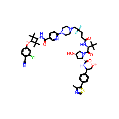 Cc1ncsc1-c1ccc(C(CO)NC(=O)[C@@H]2C[C@@H](O)CN2C(=O)[C@@H](NC(=O)CCC(F)(F)CN2CCN(c3ccc(C(=O)N[C@H]4C(C)(C)[C@H](Oc5ccc(C#N)c(Cl)c5)C4(C)C)cn3)CC2)C(C)(C)C)cc1